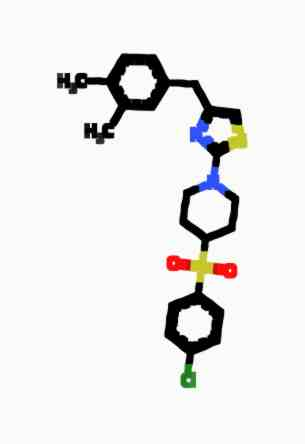 Cc1ccc(Cc2csc(N3CCC(S(=O)(=O)c4ccc(Cl)cc4)CC3)n2)cc1C